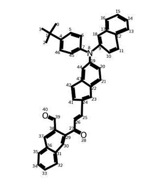 CC(C)(C)c1ccc(N(c2ccc3ccccc3c2)c2ccc3cc(C=CC(=O)c4cc5ccccc5cc4C=O)ccc3c2)cc1